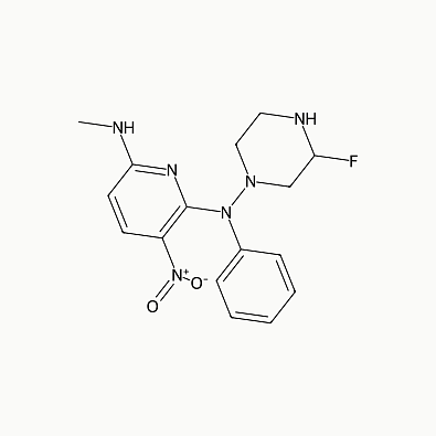 CNc1ccc([N+](=O)[O-])c(N(c2ccccc2)N2CCNC(F)C2)n1